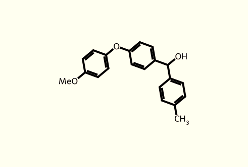 COc1ccc(Oc2ccc(C(O)c3ccc(C)cc3)cc2)cc1